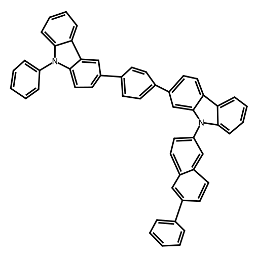 c1ccc(-c2ccc3cc(-n4c5ccccc5c5ccc(-c6ccc(-c7ccc8c(c7)c7ccccc7n8-c7ccccc7)cc6)cc54)ccc3c2)cc1